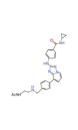 CC(=O)NCCNCc1ccc(-c2cccn3nc(Nc4ccc(C(=O)NC5CC5)cc4)nc23)cc1